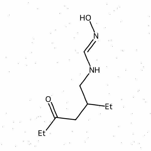 CCC(=O)CC(CC)CNC=NO